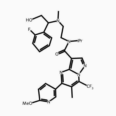 COc1ccc(-c2nc3c(C(=O)N(CCN(C)C(CO)c4ccccc4F)C(C)C)cnn3c(C(F)(F)F)c2C)cn1